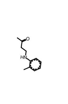 CC(=O)CCNc1ccccc1C